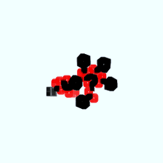 CCC(=O)Oc1c(O)c2ccc(O[C@H]3O[C@H](COC(=O)c4ccccc4)[C@@H](OC(=O)c4ccccc4)[C@H](OC(=O)c4ccccc4)[C@@H]3OC(=O)c3ccccc3)cc2oc1=O